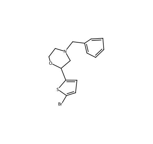 Brc1ccc(C2CN(Cc3ccccc3)CCO2)s1